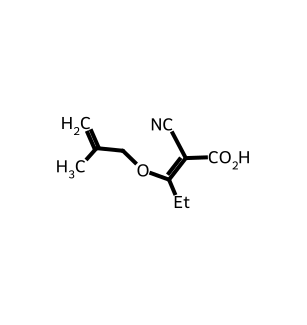 C=C(C)COC(CC)=C(C#N)C(=O)O